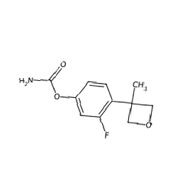 CC1(c2ccc(OC(N)=O)cc2F)COC1